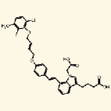 Cc1ccc(Cl)c(OC/C=C/COc2ccc(/C=C/c3cccc4c(CCCC(=O)O)cn(CC(=O)O)c34)cc2)c1F